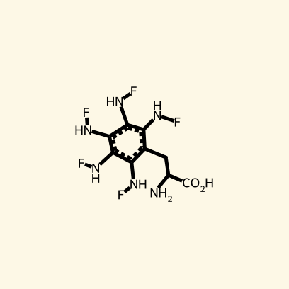 NC(Cc1c(NF)c(NF)c(NF)c(NF)c1NF)C(=O)O